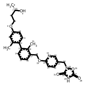 Cc1cc(OCC[C@H](C)O)ccc1-c1cccc(COc2ccc(Cn3oc(=O)[nH]c3=O)cn2)c1C